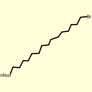 CCCCCCCCCCCCCCCCCCCCCCCCBr